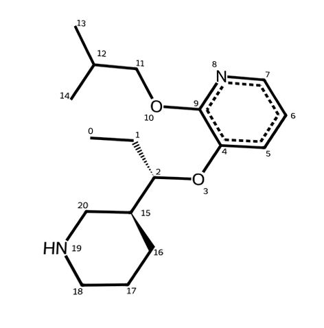 CC[C@H](Oc1cccnc1OCC(C)C)[C@H]1CCCNC1